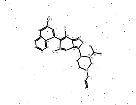 C=CCN1CCN(c2snc3c(F)c(-c4cc(O)cc5ccccc45)c(Cl)cc23)[C@@H](C(C)C)C1